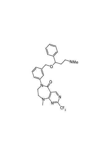 CNCCC(OCc1cccc(N2CCN(C)c3nc(C(F)(F)F)ncc3C2=O)c1)c1ccccc1